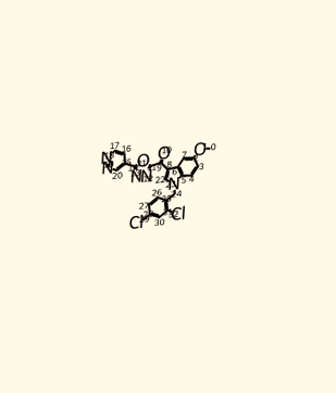 COc1ccc2c(c1)c(C(=O)c1nnc(-c3ccnnc3)o1)cn2Cc1ccc(Cl)cc1Cl